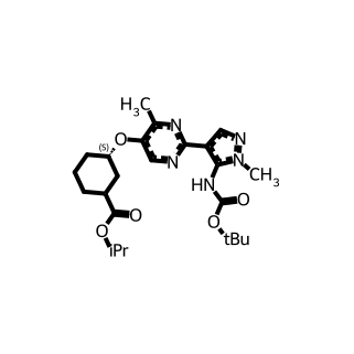 Cc1nc(-c2cnn(C)c2NC(=O)OC(C)(C)C)ncc1O[C@H]1CCCC(C(=O)OC(C)C)C1